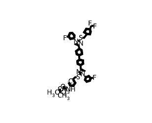 CC(C)(C)OC(=O)Nc1ccc(CSc2nc(-c3ccc(-c4ccc(-c5cn(-c6cccc(F)c6)c(SCc6ccc(C(F)F)cc6)n5)cc4)cc3)cn2-c2cccc(F)c2)cc1